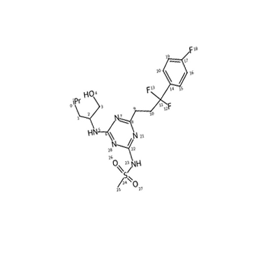 CC(C)CC(CO)Nc1nc(CCC(F)(F)c2ccc(F)cc2)nc(NS(C)(=O)=O)n1